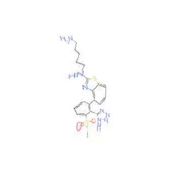 CS(=O)(=O)c1cccc(-c2cccc3sc(NCCCCCN)nc23)c1-c1nnn[nH]1